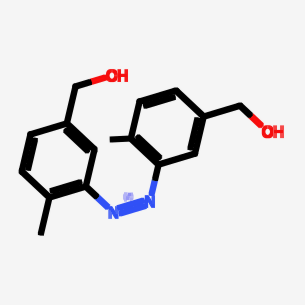 Cc1ccc(CO)cc1/N=N\c1cc(CO)ccc1C